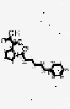 O=C(O)C(=O)C1CCCN1C(=O)CCCCCc1ccccc1